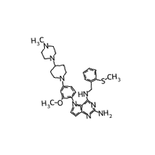 COc1cc(N2CCC(N3CCN(C)CC3)CC2)ccc1-n1ccc2nc(N)nc(NCc3ccccc3SC)c21